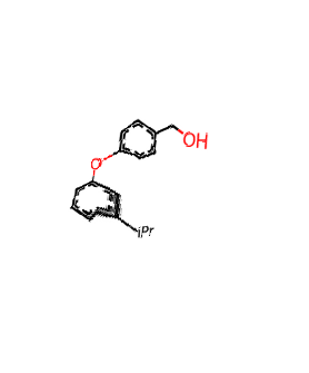 CC(C)c1cccc(Oc2ccc(CO)cc2)c1